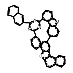 C1=CC2C=CC(c3nc(-c4ccccc4)nc(-c4cccc5oc6ccc(-c7ccc8oc9ccc%10ccccc%10c9c8c7)cc6c45)n3)=CC2C=C1